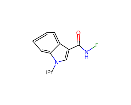 CC(C)n1cc(C(=O)NF)c2ccccc21